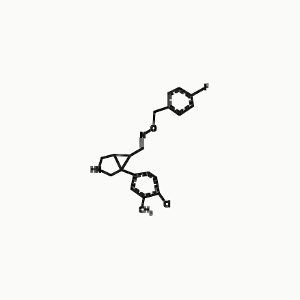 Cc1cc(C23CNCC2C3C=NOCc2ccc(F)cc2)ccc1Cl